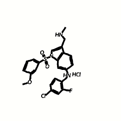 CNCc1cn(S(=O)(=O)c2cccc(OC)c2)c2cc(Nc3ccc(Cl)cc3F)ccc12.Cl